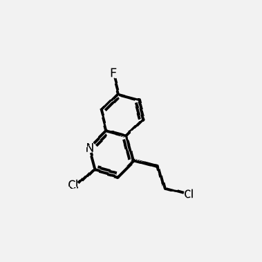 Fc1ccc2c(CCCl)cc(Cl)nc2c1